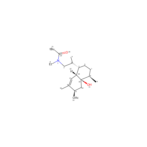 CCN(CC(C)[C@@H]1CC[C@@H](C)[C@]2(O)[CH][C@@H](OC(C)=O)C(C)=C[C@H]12)C(=O)C(C)(C)C